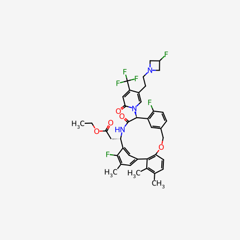 CCOC(=O)C[C@@H]1NC(=O)[C@@H](n2cc(CCN3CC(F)C3)c(C(F)(F)F)cc2=O)c2cc(ccc2F)COc2ccc(C)c(C)c2-c2cc(C)c(F)c1c2